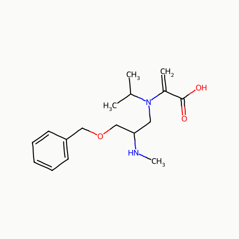 C=C(C(=O)O)N(CC(COCc1ccccc1)NC)C(C)C